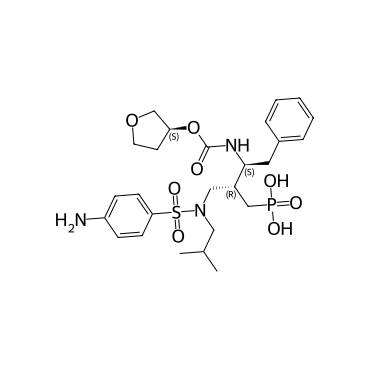 CC(C)CN(C[C@@H](CP(=O)(O)O)[C@H](Cc1ccccc1)NC(=O)O[C@H]1CCOC1)S(=O)(=O)c1ccc(N)cc1